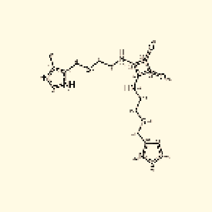 Cc1nc[nH]c1CSCCNc1c(NCCSCc2ccsn2)c(=O)c1=O